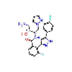 NC[C@@H](O)[C@@H](Cn1cccn1)NC(=O)c1cccc(F)c1-c1cc(-c2ccc(F)cc2)[nH]n1